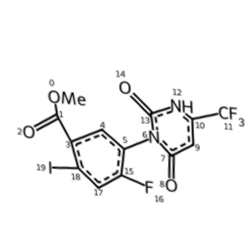 COC(=O)c1cc(-n2c(=O)cc(C(F)(F)F)[nH]c2=O)c(F)cc1I